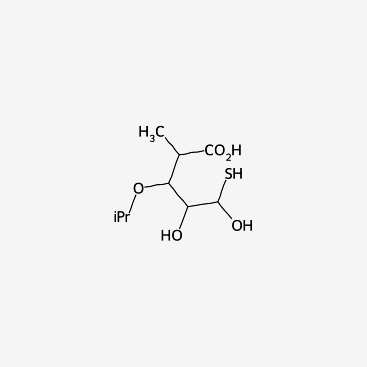 CC(C)OC(C(C)C(=O)O)C(O)C(O)S